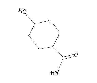 [NH]C(=O)C1CCC(O)CC1